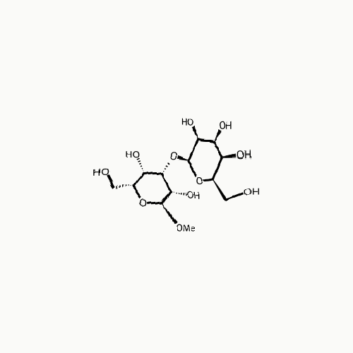 CO[C@H]1O[C@H](CO)[C@H](O)[C@H](O[C@@H]2O[C@H](CO)[C@H](O)[C@H](O)[C@@H]2O)[C@@H]1O